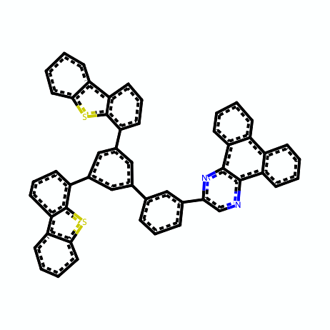 c1cc(-c2cc(-c3cccc4c3sc3ccccc34)cc(-c3cccc4c3sc3ccccc34)c2)cc(-c2cnc3c4ccccc4c4ccccc4c3n2)c1